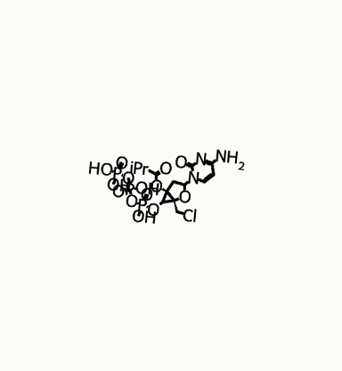 CC(C)C(=O)O[C@@]12CC(n3ccc(N)nc3=O)O[C@]1(CCl)C2OP(=O)(O)OP(=O)(O)OP(=O)(O)O